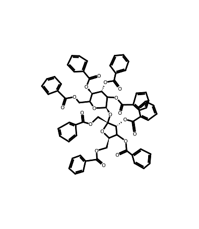 O=C(OCC1O[C@H](O[C@@]2(COC(=O)c3ccccc3)O[C@H](COC(=O)c3ccccc3)C(OC(=O)c3ccccc3)[C@H]2OC(=O)c2ccccc2)C(OC(=O)c2ccccc2)[C@@H](OC(=O)c2ccccc2)[C@@H]1OC(=O)c1ccccc1)c1ccccc1